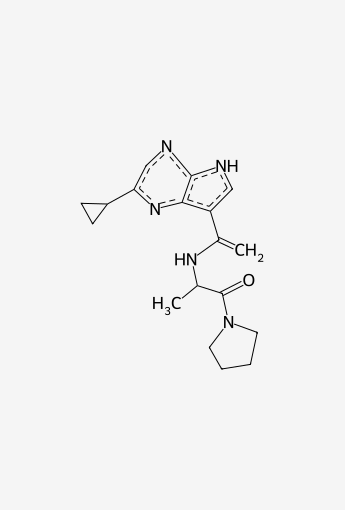 C=C(NC(C)C(=O)N1CCCC1)c1c[nH]c2ncc(C3CC3)nc12